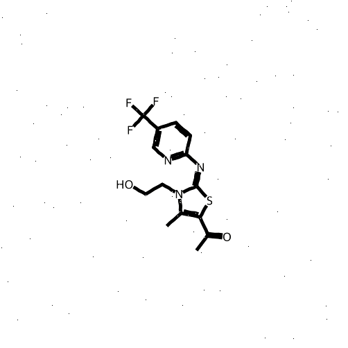 CC(=O)c1sc(=Nc2ccc(C(F)(F)F)cn2)n(CCO)c1C